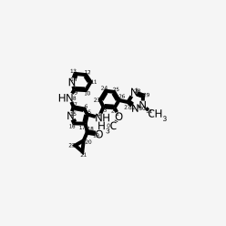 COc1c(Nc2cc(Nc3ccccn3)ncc2C(=O)C2CC2)cccc1-c1ncn(C)n1